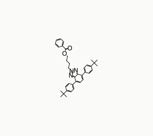 CC(C)(C)c1ccc(-c2ccc(-c3ccc(C(C)(C)C)cc3)c3nn(CCCCOC(=O)c4ccccc4)nc23)cc1